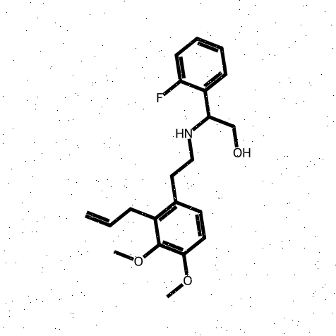 C=CCc1c(CCNC(CO)c2ccccc2F)ccc(OC)c1OC